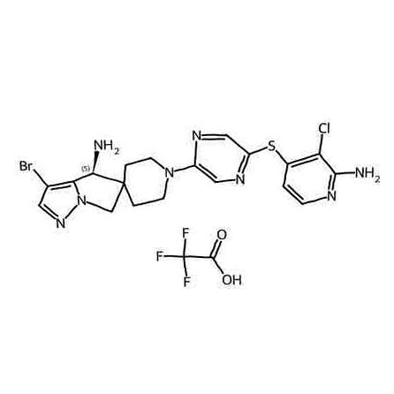 Nc1nccc(Sc2cnc(N3CCC4(CC3)Cn3ncc(Br)c3[C@H]4N)cn2)c1Cl.O=C(O)C(F)(F)F